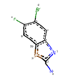 [N]c1nc2cc(Br)c(F)cc2s1